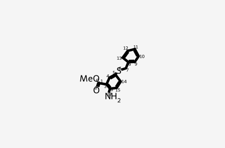 COC(=O)c1cc(SCc2ccccc2)ccc1N